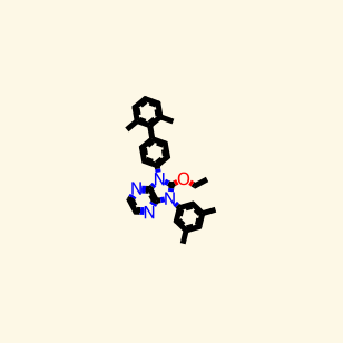 CCOC1N(c2ccc(-c3c(C)cccc3C)cc2)c2nccnc2N1c1cc(C)cc(C)c1